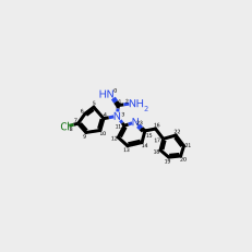 N=C(N)N(c1ccc(Cl)cc1)c1cccc(Cc2ccccc2)n1